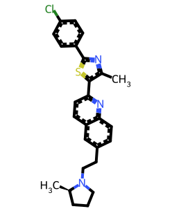 Cc1nc(-c2ccc(Cl)cc2)sc1-c1ccc2cc(CCN3CCC[C@H]3C)ccc2n1